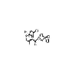 CC1=C(C(=O)OCC(Cl)(Cl)Cl)N2C(=O)C[C@@H]2SC1